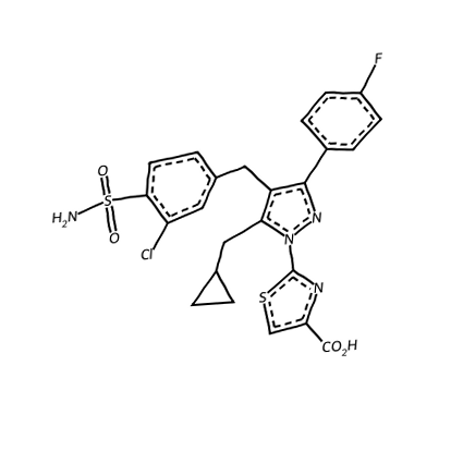 NS(=O)(=O)c1ccc(Cc2c(-c3ccc(F)cc3)nn(-c3nc(C(=O)O)cs3)c2CC2CC2)cc1Cl